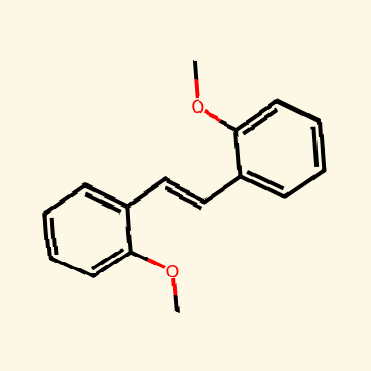 COc1ccccc1C=Cc1ccccc1OC